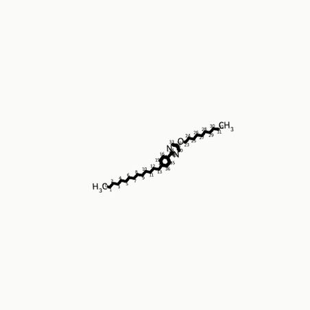 CCCCCCCCCCCCCCc1ccc(-c2ncc(OCCCCCCCCCC)cn2)cc1